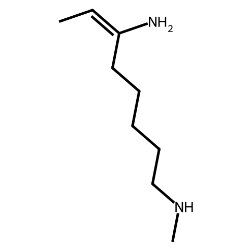 C/C=C(/N)CCCCCNC